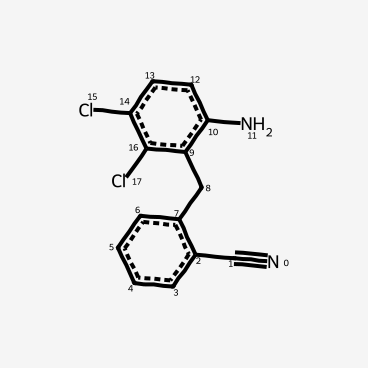 N#Cc1ccccc1Cc1c(N)ccc(Cl)c1Cl